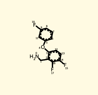 NCc1c(Oc2cccc(F)c2)c[c]c(F)c1F